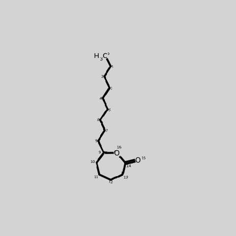 CCCCCCCCCC1CCCCC(=O)O1